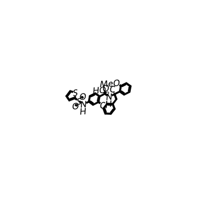 COc1ccccc1[C@@](Cc1ccccc1)(NC(=O)c1ccc(NS(=O)(=O)c2cccs2)cc1Cl)C(=O)O